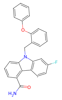 NC(=O)c1cccc2c1c1[c]cc(F)cc1n2Cc1ccccc1Oc1ccccc1